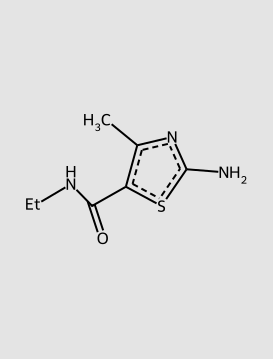 CCNC(=O)c1sc(N)nc1C